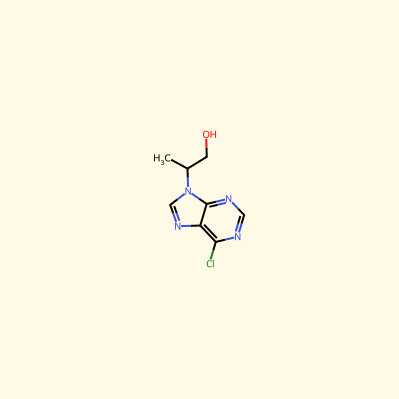 CC(CO)n1cnc2c(Cl)ncnc21